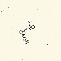 COC(=O)c1ccc(CN2C=C/C(=C\C=C\c3sc4ccccc4[n+]3CC[O-])c3ccccc32)cc1